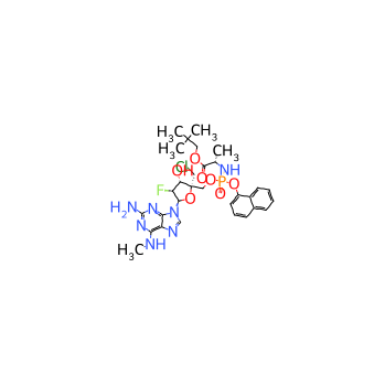 CNc1nc(N)nc2c1ncn2[C@@H]1O[C@](CCl)(CO[P@@](=O)(N[C@@H](C)C(=O)OCC(C)(C)C)Oc2cccc3ccccc23)[C@@H](O)[C@@H]1F